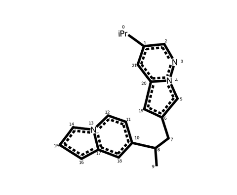 CC(C)c1cnn2cc(CC(C)c3ccn4cccc4c3)cc2c1